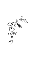 CC(C)(C)OC(=O)[C@@H](Cc1cccc(N2CCC(NC(=O)OCc3ccccc3)CC2)c1)[C@H]1CCN(C(=O)OC(C)(C)C)C1